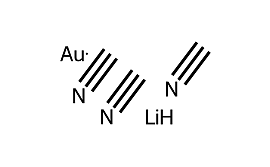 C#N.C#N.C#N.[Au].[LiH]